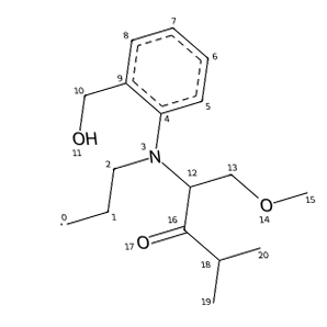 [CH2]CCN(c1ccccc1CO)C(COC)C(=O)C(C)C